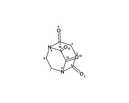 O=C1CCC(=O)N2CCN1C(=O)C2=O